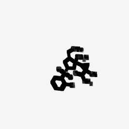 COC[C@@H]1C[C@@H](S(=O)(=O)c2ccccc2Cl)C[C@@]1(C(=O)O)C1CC1(C#N)C(N)=O